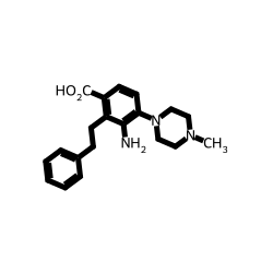 CN1CCN(c2ccc(C(=O)O)c(CCc3ccccc3)c2N)CC1